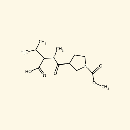 COC(=O)N1CC[C@H](C(=O)N(C)C(C(=O)O)C(C)C)C1